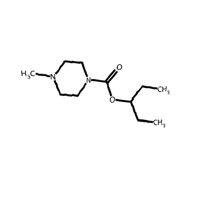 CCC(CC)OC(=O)N1CCN(C)CC1